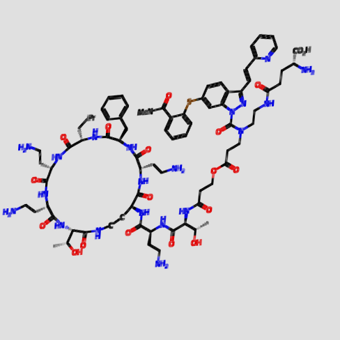 CNC(=O)c1ccccc1Sc1ccc2c(/C=C/c3ccccn3)nn(C(=O)N(CCNC(=O)CC[C@@H](N)C(=O)O)CCC(=O)OCCC(=O)N[C@H](C(=O)N[C@@H](CCN)C(=O)N[C@H]3CCNC(=O)[C@H]([C@@H](C)O)NC(=O)[C@H](CCN)NC(=O)[C@H](CCN)NC(=O)[C@H](CC(C)C)NC(=O)[C@@H](Cc4ccccc4)NC(=O)[C@H](CCN)NC3=O)[C@H](C)O)c2c1